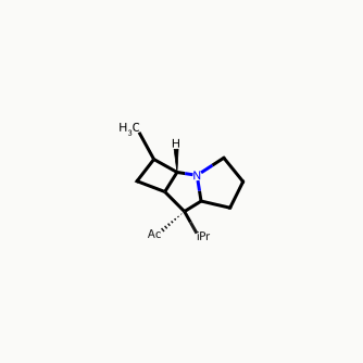 CC(=O)[C@]1(C(C)C)C2CC(C)[C@@H]2N2CCCC21